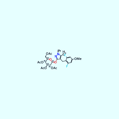 COc1cc(F)c(Cc2c(O[C@@H]3O[C@H](COC(C)=O)[C@@H](OC(C)=O)[C@H](OC(C)=O)[C@H]3OC(C)=O)nn(C(C)C)c2C)c(F)c1